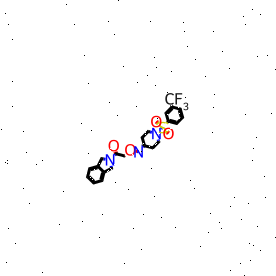 O=C(CON=C1CCN(S(=O)(=O)c2cccc(C(F)(F)F)c2)CC1)N1Cc2ccccc2C1